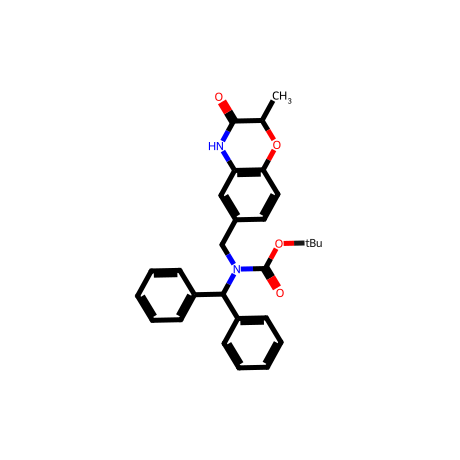 CC1Oc2ccc(CN(C(=O)OC(C)(C)C)C(c3ccccc3)c3ccccc3)cc2NC1=O